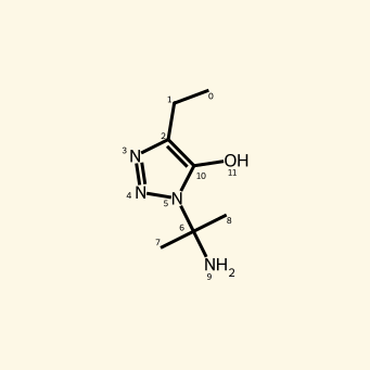 CCc1nnn(C(C)(C)N)c1O